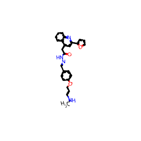 CNCCCOc1ccc(/C=N/NC(=O)Cc2cc(-c3ccco3)nc3ccccc23)cc1